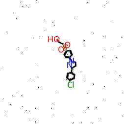 O=S(=O)(CCO)c1ccc(N2CCC(c3ccc(Cl)cc3)=N2)cc1